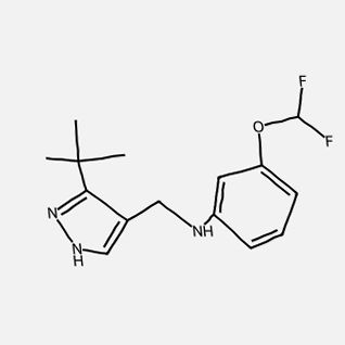 CC(C)(C)c1n[nH]cc1CNc1cccc(OC(F)F)c1